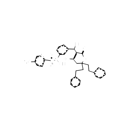 CCC(C1=C(O)CC(CCc2ccccc2)(CCc2ccccc2)OC1=O)c1cccc(N(C)S(=O)(=O)c2ccc(C#N)cn2)c1